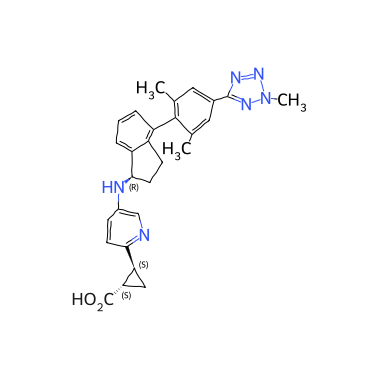 Cc1cc(-c2nnn(C)n2)cc(C)c1-c1cccc2c1CC[C@H]2Nc1ccc([C@H]2C[C@@H]2C(=O)O)nc1